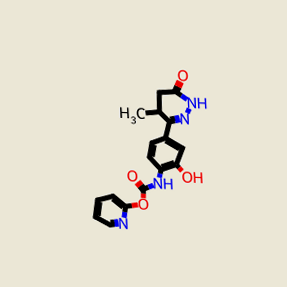 CC1CC(=O)NN=C1c1ccc(NC(=O)Oc2ccccn2)c(O)c1